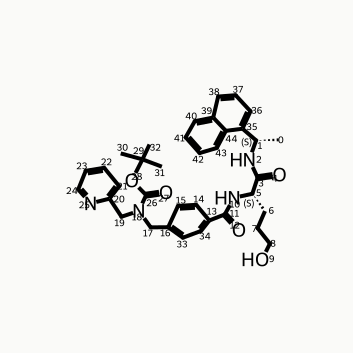 C[C@H](NC(=O)[C@H](CCCO)NC(=O)c1ccc(CN(Cc2ccccn2)C(=O)OC(C)(C)C)cc1)c1cccc2ccccc12